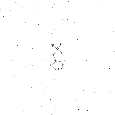 FC(F)(F)ON1C[C]=CS1